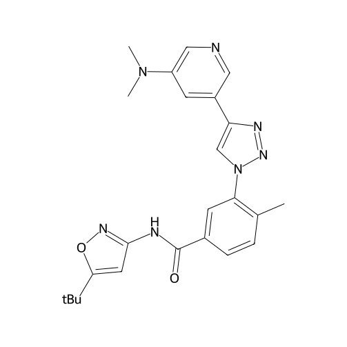 Cc1ccc(C(=O)Nc2cc(C(C)(C)C)on2)cc1-n1cc(-c2cncc(N(C)C)c2)nn1